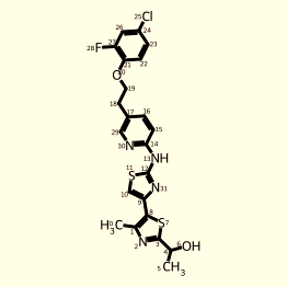 Cc1nc(C(C)O)sc1-c1csc(Nc2ccc(CCOc3ccc(Cl)cc3F)cn2)n1